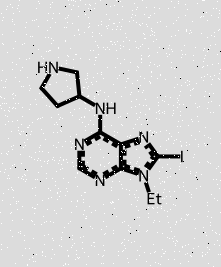 CCn1c(I)nc2c(NC3CCNC3)ncnc21